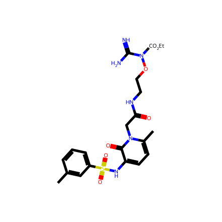 CCOC(=O)N(OCCNC(=O)Cn1c(C)ccc(NS(=O)(=O)c2cccc(C)c2)c1=O)C(=N)N